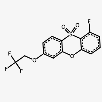 O=S1(=O)c2ccc(OCC(F)(F)F)cc2Oc2cccc(F)c21